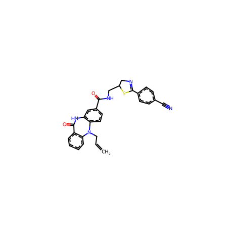 C=CCN1c2ccc(C(=O)NCC3CN=C(c4ccc(C#N)cc4)S3)cc2NC(=O)c2ccccc21